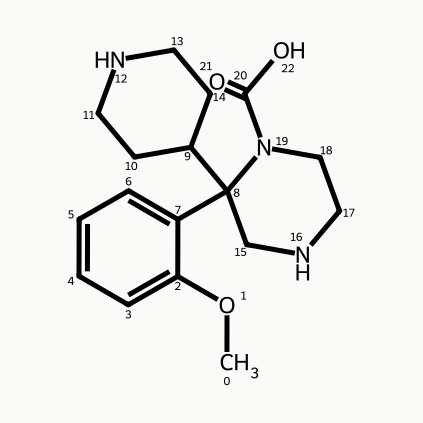 COc1ccccc1C1(C2CCNCC2)CNCCN1C(=O)O